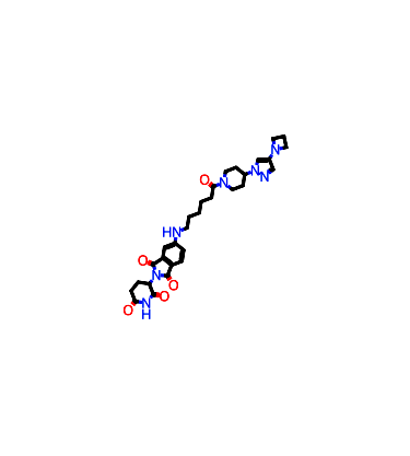 O=C1CCC(N2C(=O)c3ccc(NCCCCCC(=O)N4CCC(n5cc(N6CCC6)cn5)CC4)cc3C2=O)C(=O)N1